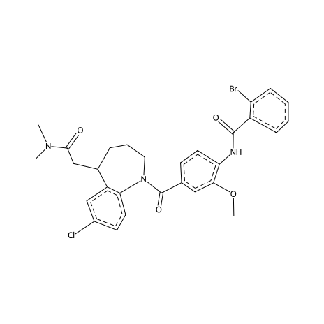 COc1cc(C(=O)N2CCCC(CC(=O)N(C)C)c3cc(Cl)ccc32)ccc1NC(=O)c1ccccc1Br